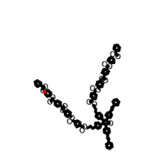 O=C1C(c2ccc(C#Cc3ccccc3)cc2)=C(c2ccc(CCCOC(=O)c3ccc(C(=O)Oc4ccc(OC(=O)c5ccc(C(=O)Oc6ccc(OC(=O)c7ccccc7)cc6)cc5)cc4)cc3)cc2)C(c2ccc(CCCOC(=O)c3ccc(C(=O)Oc4ccc(OC(=O)c5ccc(C(=O)Oc6ccc(OC(=O)c7ccccc7)cc6)cc5)cc4)cc3)cc2)=C1c1ccc(C#Cc2ccccc2)cc1